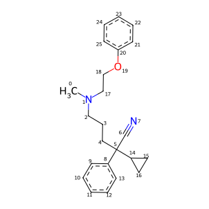 CN(CCCC(C#N)(c1ccccc1)C1CC1)CCOc1ccccc1